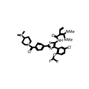 C=CC(C(=O)Nc1sc(-c2ccc(C(=O)N3CCC(N(C)C)CC3)cc2)nc1-c1cc(Cl)ccc1OC(F)F)=C(NC)NC